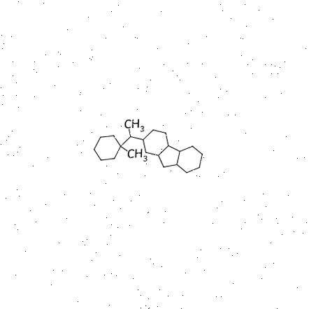 CC(C1CCC2C(CC3CCCCC32)C1)C1(C)CCCCC1